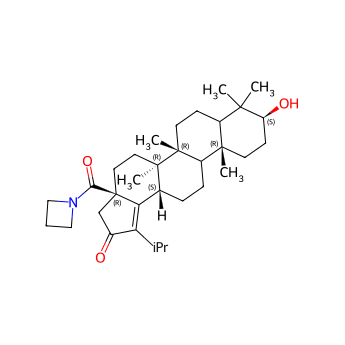 CC(C)C1=C2[C@H]3CCC4[C@@]5(C)CC[C@H](O)C(C)(C)C5CC[C@@]4(C)[C@]3(C)CC[C@@]2(C(=O)N2CCC2)CC1=O